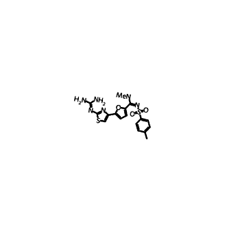 CNC(=NS(=O)(=O)c1ccc(C)cc1)c1ccc(-c2csc(N=C(N)N)n2)o1